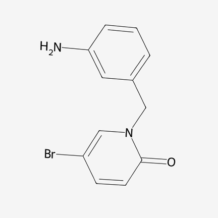 Nc1cccc(Cn2cc(Br)ccc2=O)c1